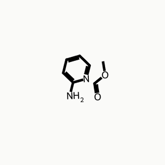 COC=O.Nc1ccccn1